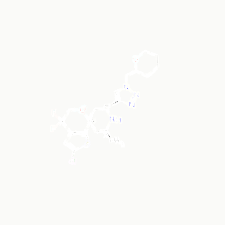 C[C@H]1C[C@@]2(C[C@@H](c3cn(CC4CCCCO4)nn3)N1)OCC(F)(F)c1cc(Cl)sc12